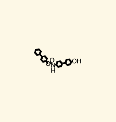 O=C(Nc1ccc(-c2ccc(O)cc2)cc1)Oc1ccc(-c2ccccc2)cc1